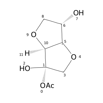 CC(=O)O[C@@]1(O)CO[C]2[C@@H](O)CO[C@@H]21